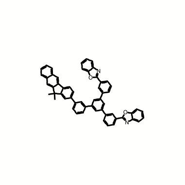 CC1(C)c2cc(-c3cccc(-c4cc(-c5cccc(-c6nc7ccccc7o6)c5)cc(-c5cccc(-c6nc7ccccc7o6)c5)c4)c3)ccc2-c2cc3ccccc3cc21